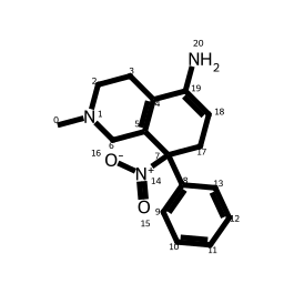 CN1CCC2=C(C1)C(c1ccccc1)([N+](=O)[O-])CC=C2N